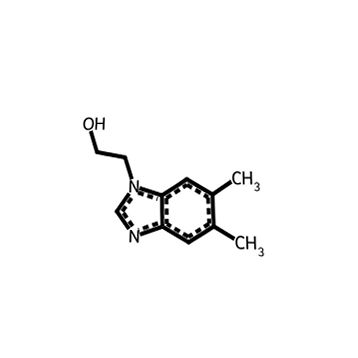 Cc1cc2ncn(CCO)c2cc1C